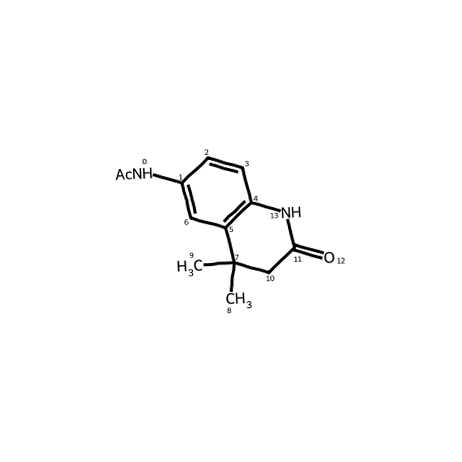 CC(=O)Nc1ccc2c(c1)C(C)(C)CC(=O)N2